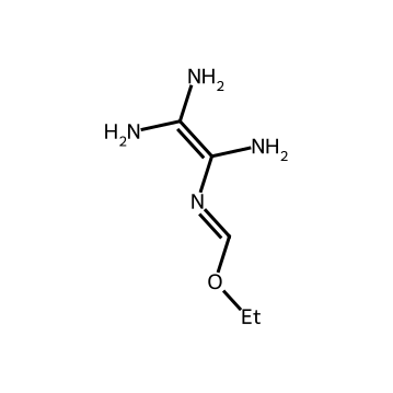 CCOC=NC(N)=C(N)N